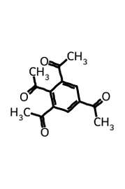 CC(=O)c1cc(C(C)=O)c(C(C)=O)c(C(C)=O)c1